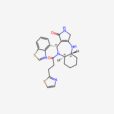 O=C1NCC2=C1[C@@H](c1cccc3scnc13)N(C(=O)CCc1nccs1)[C@@H]1CCCC[C@H]1N2